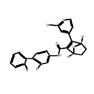 O=C(Nc1ccc(-c2ccccc2F)c(F)c1)C1=C(c2ccnc(Cl)c2)[C@@H]2CC[C@H]1O2